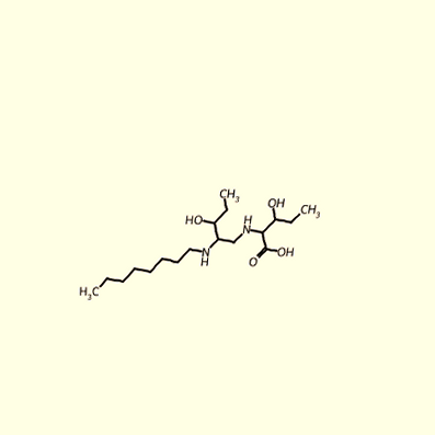 CCCCCCCCNC(CNC(C(=O)O)C(O)CC)C(O)CC